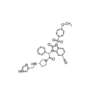 COc1ccc(S(=O)(=O)n2c(=O)n(C(C(=O)N3CC[C@H](NCc4c[nH]cn4)C3)c3ccccc3)c3cc(C#N)ccc32)cc1